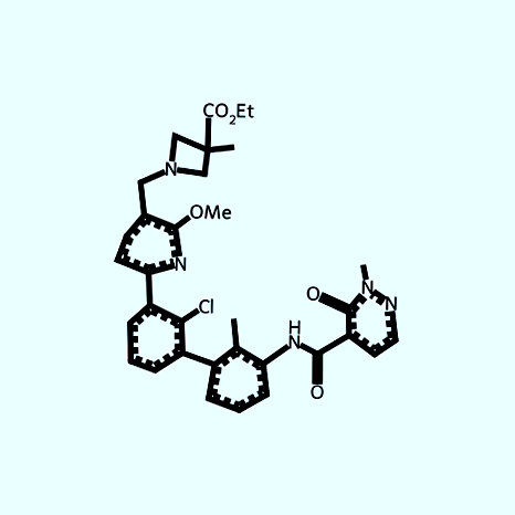 CCOC(=O)C1(C)CN(Cc2ccc(-c3cccc(-c4cccc(NC(=O)c5ccnn(C)c5=O)c4C)c3Cl)nc2OC)C1